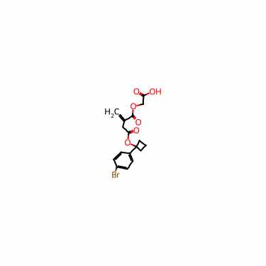 C=C(CC(=O)OC1(c2ccc(Br)cc2)CCC1)C(=O)OCC(=O)O